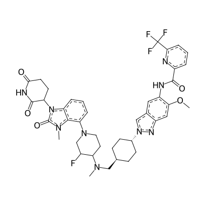 COc1cc2nn([C@H]3CC[C@H](CN(C)C4CCN(c5cccc6c5n(C)c(=O)n6C5CCC(=O)NC5=O)CC4F)CC3)cc2cc1NC(=O)c1cccc(C(F)(F)F)n1